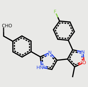 Cc1onc(-c2ccc(F)cc2)c1-c1c[nH]c(-c2ccc(CC=O)cc2)n1